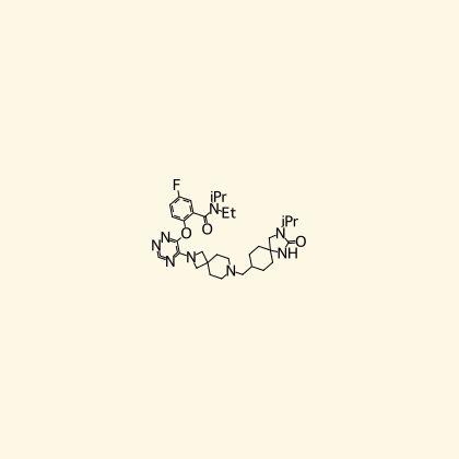 CCN(C(=O)c1cc(F)ccc1Oc1nncnc1N1CC2(CCN(CC3CCC4(CC3)CN(C(C)C)C(=O)N4)CC2)C1)C(C)C